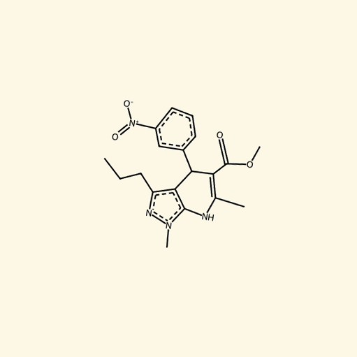 CCCc1nn(C)c2c1C(c1cccc([N+](=O)[O-])c1)C(C(=O)OC)=C(C)N2